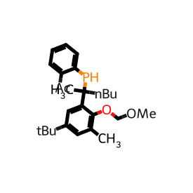 CCCCC(C)(Pc1ccccc1C(C)=O)c1cc(C(C)(C)C)cc(C)c1OCOC